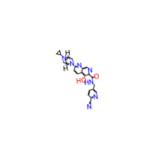 N#Cc1ccc(CNC(=O)c2ncc3nc(N4C[C@@H]5C[C@H]4CN5C4CC4)ccc3c2O)cn1